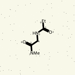 CCC(=O)NCC(=O)NC